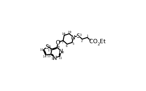 CCOC(=O)CCSN1CCC(Oc2ncnc3ccsc23)CC1